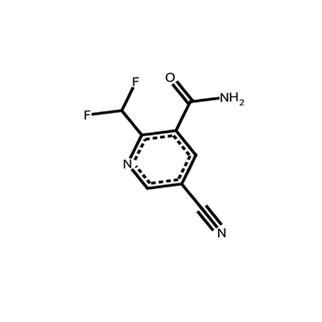 N#Cc1cnc(C(F)F)c(C(N)=O)c1